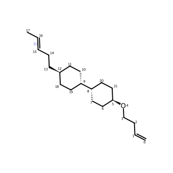 C=CCCO[C@H]1CC[C@H]([C@H]2CC[C@H](CC/C=C/C)CC2)CC1